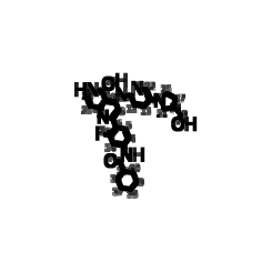 O=C(Nc1ccc(-c2cc(Nc3ccc(N4CC[C@@H](CO)C4)cn3)c3c(=O)[nH]ccc3n2)c(F)c1)C1CCCCC1